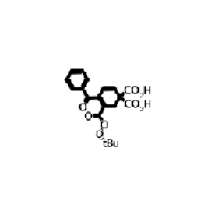 CC(C)(C)OOC(=O)C1=C(C(=O)c2ccccc2)C=CC(C(=O)O)(C(=O)O)C1